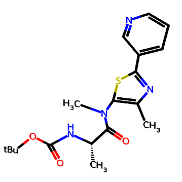 Cc1nc(-c2cccnc2)sc1N(C)C(=O)[C@H](C)NC(=O)OC(C)(C)C